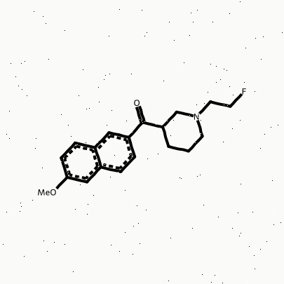 COc1ccc2cc(C(=O)C3CCCN(CCF)C3)ccc2c1